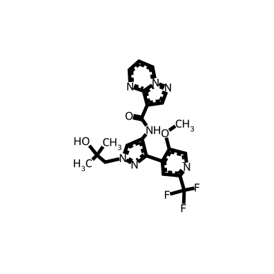 COc1cnc(C(F)(F)F)cc1-c1nn(CC(C)(C)O)cc1NC(=O)c1cnn2cccnc12